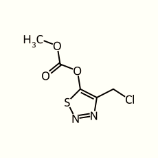 COC(=O)Oc1snnc1CCl